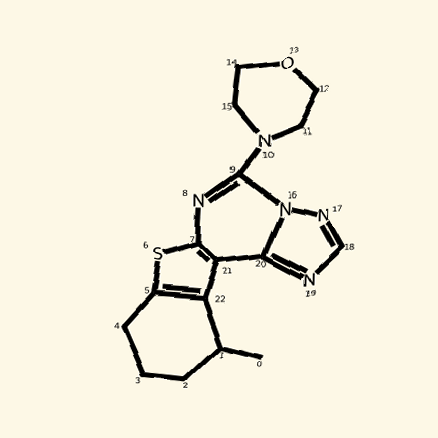 CC1CCCc2sc3nc(N4CCOCC4)n4ncnc4c3c21